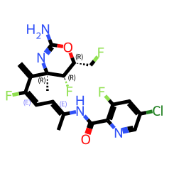 C=C(/C(F)=C\C=C(/C)NC(=O)c1ncc(Cl)cc1F)[C@@]1(C)N=C(N)O[C@H](CF)[C@@H]1F